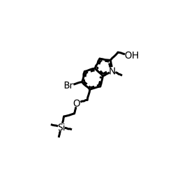 Cn1c(CO)cc2cc(Br)c(COCC[Si](C)(C)C)cc21